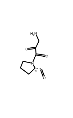 NCC(=O)C(=O)N1CCC[C@H]1C=O